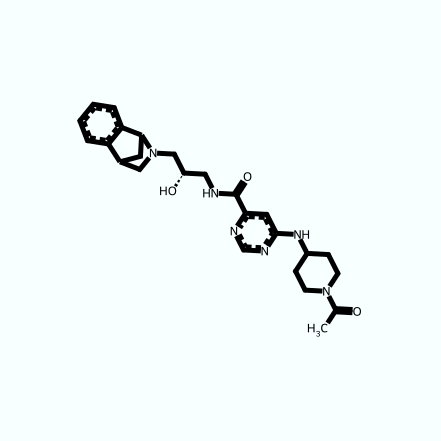 CC(=O)N1CCC(Nc2cc(C(=O)NC[C@H](O)CN3CC4CC3c3ccccc34)ncn2)CC1